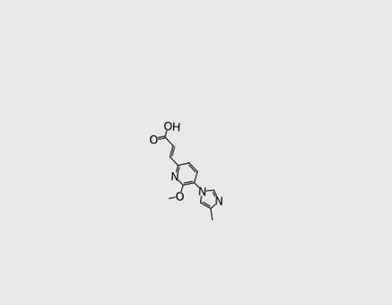 COc1nc(C=CC(=O)O)ccc1-n1cnc(C)c1